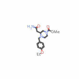 CCOc1ccc(CN2CCN(C(=O)OC)CC2CC(N)=O)cc1